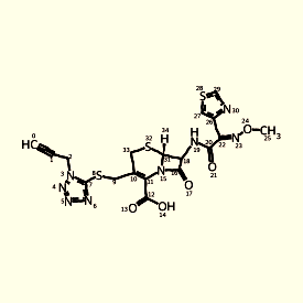 C#CCn1nnnc1SCC1=C(C(=O)O)N2C(=O)C(NC(=O)/C(=N/OC)c3cscn3)[C@H]2SC1